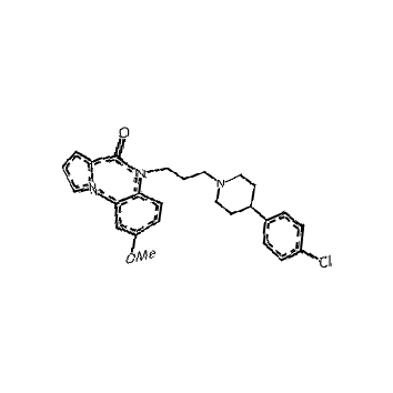 COc1ccc2c(c1)n1cccc1c(=O)n2CCCN1CCC(c2ccc(Cl)cc2)CC1